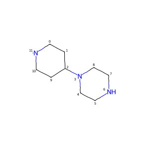 C1CC(N2CCNCC2)CC[N]1